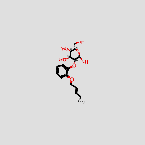 CCCCCOc1ccccc1O[C@H]1C(O)O[C@H](CO)[C@@H](O)[C@@H]1O